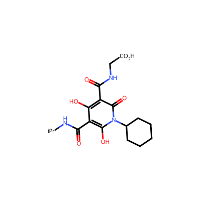 CC(C)NC(=O)c1c(O)c(C(=O)NCC(=O)O)c(=O)n(C2CCCCC2)c1O